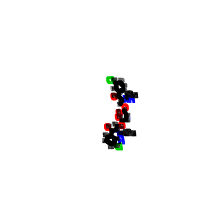 CC(C)(C)NC(COC(=O)/C=C\C(=O)OCC(NC(C)(C)C)C(=O)c1cccc(Cl)c1)C(=O)c1cccc(Cl)c1